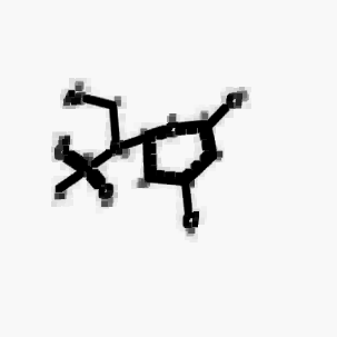 CC(=O)CN(c1cc(Cl)cc(Cl)c1)S(C)(=O)=O